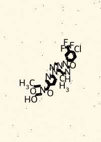 C[C@@H]1CN(C(=O)c2ccc(-n3ncnc3[C@H](C)Nc3nc4cc(C(F)(F)F)c(Cl)cc4o3)nc2)C[C@H](O)O1